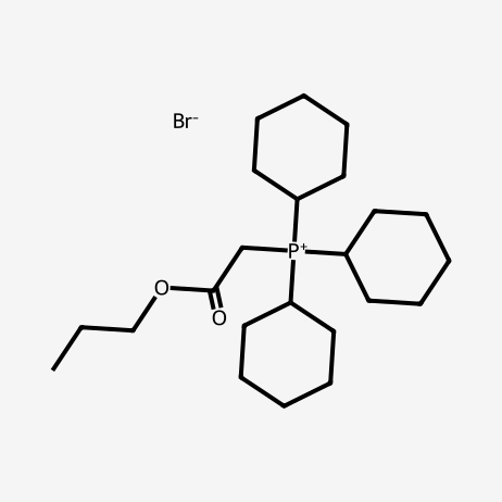 CCCOC(=O)C[P+](C1CCCCC1)(C1CCCCC1)C1CCCCC1.[Br-]